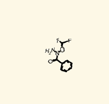 NN(OC(F)F)C(=O)c1ccccc1